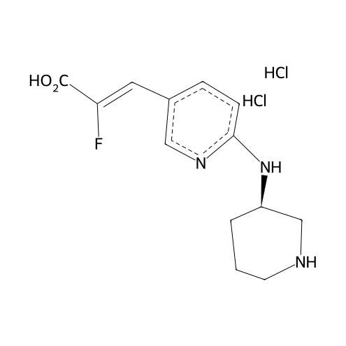 Cl.Cl.O=C(O)/C(F)=C/c1ccc(N[C@@H]2CCCNC2)nc1